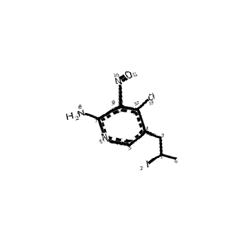 CC(I)Cc1cnc(N)c(N=O)c1Cl